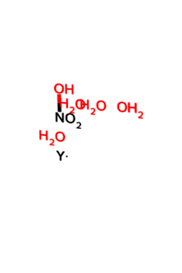 O.O.O.O.O=[N+]([O-])O.[Y]